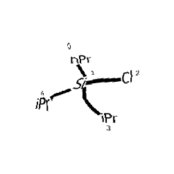 CCC[Si](Cl)(C(C)C)C(C)C